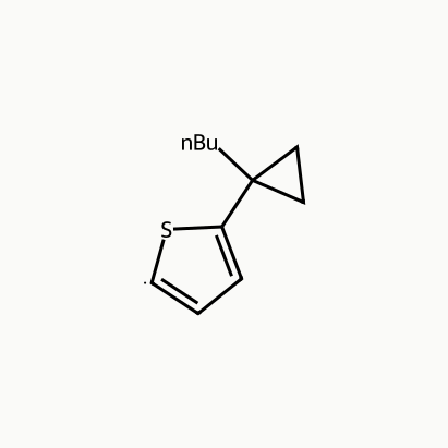 CCCCC1(c2cc[c]s2)CC1